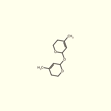 CC1=CC(OC2C=C(C)CCO2)OCC1